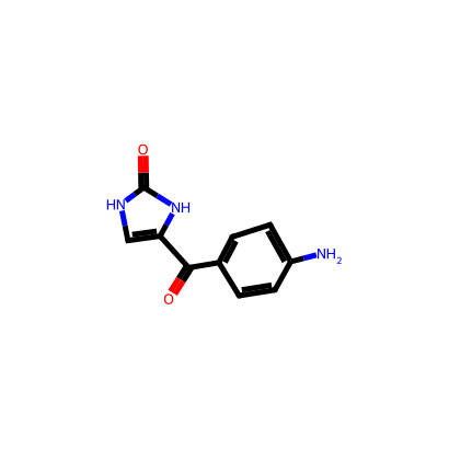 Nc1ccc(C(=O)c2c[nH]c(=O)[nH]2)cc1